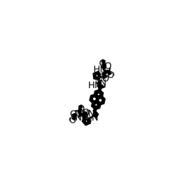 COC(=O)N[C@H](C(=O)N1CCC[C@H]1c1ncc(-c2cc3c4c(c2)CCc2cc(-c5cnc([C@@H]6CCCN6C(=O)[C@@H](NC(=O)OC)[C@@H](C)OC)[nH]5)cc(c2-4)CC3)[nH]1)[C@@H](C)OC